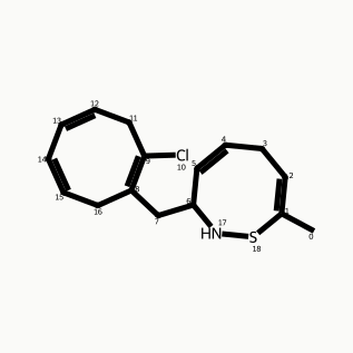 C/C1=C/C/C=C\C(C/C2=C(\Cl)C/C=C\C=C/C2)NS1